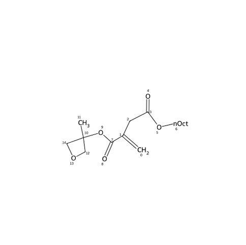 C=C(CC(=O)OCCCCCCCC)C(=O)OC1(C)COC1